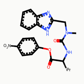 CC(C)C(NC(=O)N(C)Cc1nc2ccccc2[nH]1)C(=O)Oc1ccc([N+](=O)[O-])cc1